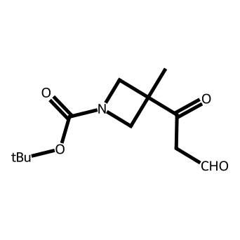 CC(C)(C)OC(=O)N1CC(C)(C(=O)CC=O)C1